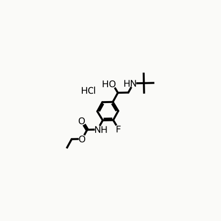 CCOC(=O)Nc1ccc(C(O)CNC(C)(C)C)cc1F.Cl